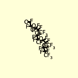 O=C(F)C(F)(OC(F)(F)C(F)(OC(F)(F)C(F)(OC(F)(F)C(F)(OC(F)(F)C(F)(F)C(F)(F)F)C(F)(F)F)C(F)(F)F)C(F)(F)F)C(F)(F)F